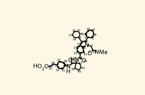 CNC(=O)Cn1c(-c2ccccc2)c(C2CCCCC2)c2ccc(C(=O)NC3(C(=O)Nc4ccc(/C=C/C(=O)O)cc4)CCCC3)cc21